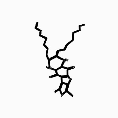 CCCCCCCCC1NC2C(=O)c3sc4c(C)sc(C)c4c3C(=O)C2NC1CCCCCCCC